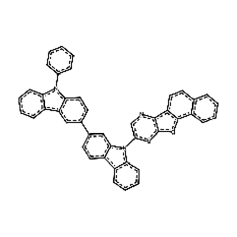 c1ccc(-n2c3ccccc3c3cc(-c4ccc5c6ccccc6n(-c6cnc7c(n6)oc6c8ccccc8ccc76)c5c4)ccc32)cc1